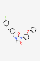 CC1(C)C(=O)N(c2cccc(Oc3ccccc3)c2)C(=O)N1Cc1cccc(Cc2ccc(F)cc2)c1